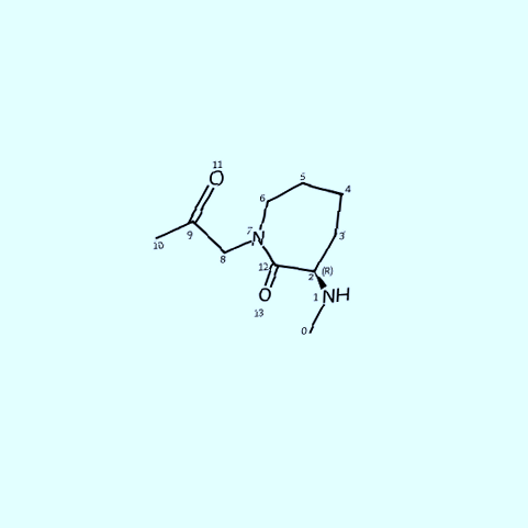 CN[C@@H]1CCCCN(CC(C)=O)C1=O